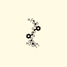 CCOC(=O)Oc1ccccc1C(=O)OOC(=O)c1ccccc1OC(=O)OC(C)(C)C